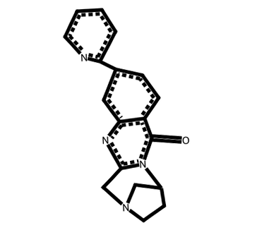 O=c1c2ccc(-c3ccccn3)cc2nc2n1C1CCN(C2)C1